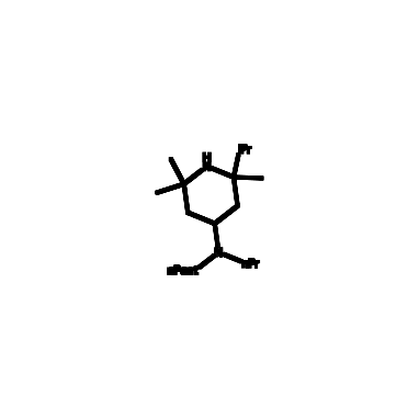 CCCCCN(CCC)C1CC(C)(C)NC(C)(C(C)C)C1